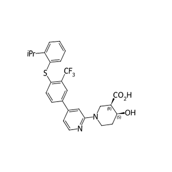 CC(C)c1ccccc1Sc1ccc(-c2ccnc(N3CC[C@H](O)[C@H](C(=O)O)C3)c2)cc1C(F)(F)F